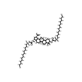 C=C(C)[C@@H]1CC[C@]2(COC(=O)C[N+](C)(C)CCCCCCCCCCCCCC)CC[C@]3(C)C(CCC4[C@@]5(C)CC[C@H](OC(=O)C[N+](C)(C)CCCCCCCCCCCCCC)C(C)(C)C5CC[C@]43C)C12